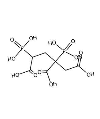 O=C(O)CC(CC(C(=O)O)P(=O)(O)O)(C(=O)O)P(=O)(O)O